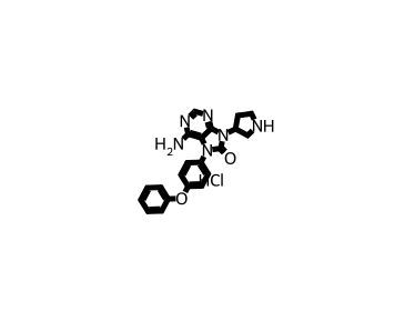 Cl.Nc1ncnc2c1n(-c1ccc(Oc3ccccc3)cc1)c(=O)n2C1CCNC1